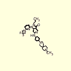 C=CCn1c(=O)c2cnc(Nc3ccc(N4CCC5(CCN(C)CC5)CC4)cc3)cc2n1-c1cccc(N2CC(F)(F)C2)n1